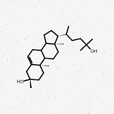 CC(CCC(C)(C)O)[C@H]1CCC2C3CC=C4C[C@@](C)(O)CC[C@]4(C)C3CC[C@@]21C